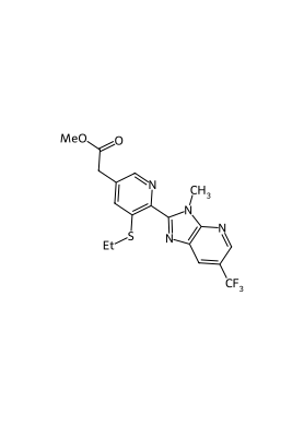 CCSc1cc(CC(=O)OC)cnc1-c1nc2cc(C(F)(F)F)cnc2n1C